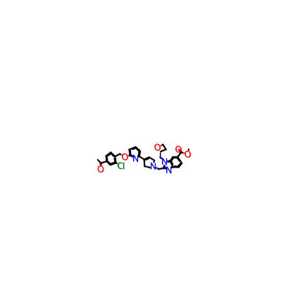 COC(=O)c1ccc2nc(CN3CC=C(c4cccc(OCc5ccc(C(C)=O)cc5Cl)n4)CC3)n(C[C@@H]3CCO3)c2c1